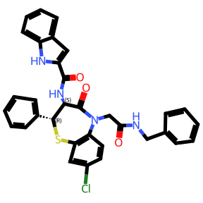 O=C(CN1C(=O)[C@H](NC(=O)c2cc3ccccc3[nH]2)[C@@H](c2ccccc2)Sc2cc(Cl)ccc21)NCc1ccccc1